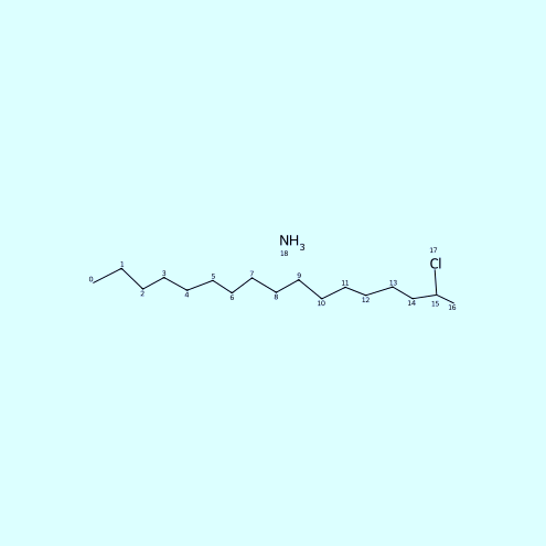 CCCCCCCCCCCCCCCC(C)Cl.N